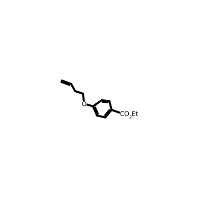 C=CCCOc1ccc(C(=O)OCC)cc1